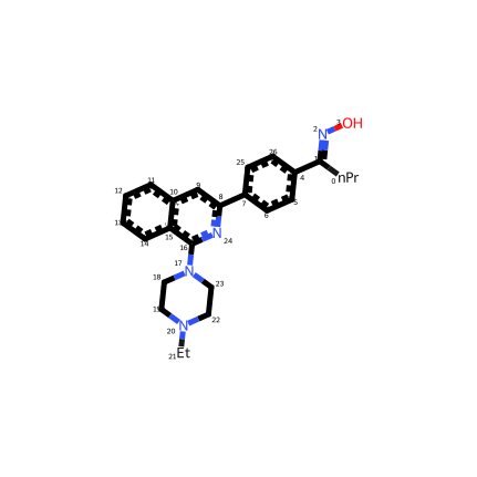 CCCC(=NO)c1ccc(-c2cc3ccccc3c(N3CCN(CC)CC3)n2)cc1